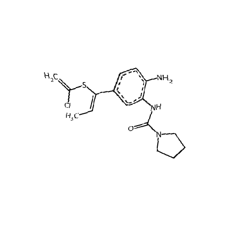 C=C(Cl)S/C(=C\C)c1ccc(N)c(NC(=O)N2CCCC2)c1